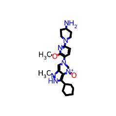 COc1nc(N2CCC(N)CC2)ccc1N1C=C2C(=C(C3CCCCC3)NN2C)[N+](=O)C1